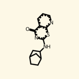 O=c1nc(NC2CC3CCC2C3)sc2ncccc12